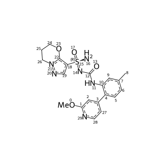 COc1cc(-c2ccc(C)cc2NC(=O)N=[S@@](N)(=O)c2cnn3c2OCCC3)ccn1